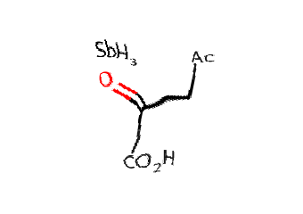 CC(=O)CC(=O)C(=O)O.[SbH3]